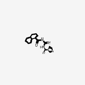 CCC(NC(=N)NC(=O)c1cccc2ccccc12)n1ccnc1